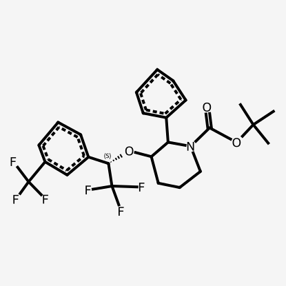 CC(C)(C)OC(=O)N1CCCC(O[C@@H](c2cccc(C(F)(F)F)c2)C(F)(F)F)C1c1ccccc1